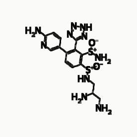 NCC(N)CN[S+]([O-])c1ccc(-c2ccc(N)nc2)c(-c2nn[nH]n2)c1[S+](N)[O-]